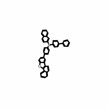 c1ccc(-c2ccc(N(c3ccc(-c4ccc5oc6c7ccccc7ccc6c5c4)cc3)c3ccc4ccccc4c3)cc2)cc1